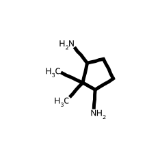 CC1(C)C(N)CCC1N